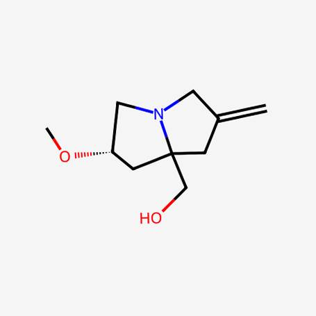 C=C1CN2C[C@@H](OC)CC2(CO)C1